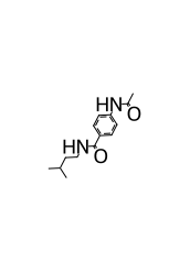 CC(=O)Nc1ccc(C(=O)NCCC(C)C)cc1